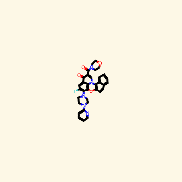 O=C(c1cn2c3c(c(N4CCN(c5ccccn5)CC4)c(F)cc3c1=O)Oc1ccc3ccccc3c1-2)N1CCOCC1